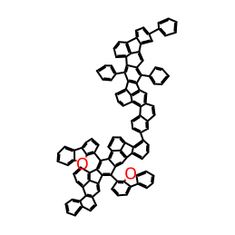 c1ccc(-c2ccc3c(c2)c2cc4c(-c5ccccc5)c5c6cc7ccc8cc(-c9cccc%10c%11cc%12c(-c%13cccc%14c%13oc%13ccccc%13%14)c%13c%14cc%15ccc%16ccccc%16c%15c%15cccc(c%13c(-c%13cccc%16c%13oc%13ccccc%13%16)c%12c%12cccc(c9%10)c%11%12)c%14%15)ccc8c7c7cccc(c5c(-c5ccccc5)c4c4cccc3c24)c67)cc1